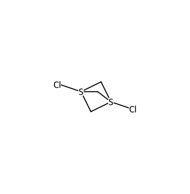 ClS12CS(Cl)(C1)C2